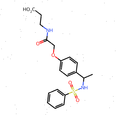 CC(NS(=O)(=O)c1ccccc1)c1ccc(OCC(=O)NCCC(=O)O)cc1